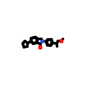 COCC(C)c1ccc(N2Cc3ccc(C4CCCC4)cc3C2=O)cc1